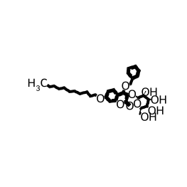 CCCCCCCCCCCOc1ccc2c(OCc3ccccc3)c(O[C@@H]3O[C@H](CO)[C@H](O)[C@H](O)[C@H]3O)c(=O)oc2c1